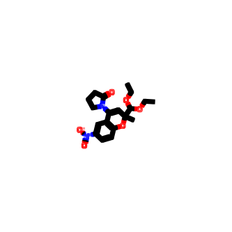 CCOC(OCC)C1(C)C=C(N2CCCC2=O)c2cc([N+](=O)[O-])ccc2O1